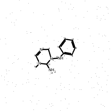 CN1C=NCN(Nc2ccccc2)C1N